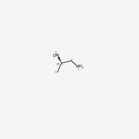 C[C@H](CN)N=O